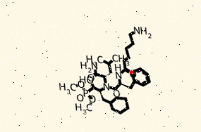 COP(=O)(OC)C(O)[C@H](CC1CCCCC1)N(C(=O)[C@H](Cc1ccccc1)NC(=O)CCCCCN)[C@@H](CC(C)C)C(N)=O